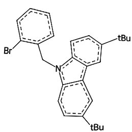 CC(C)(C)c1ccc2c(c1)c1cc(C(C)(C)C)ccc1n2Cc1ccccc1Br